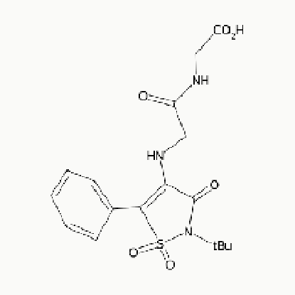 CC(C)(C)N1C(=O)C(NCC(=O)NCC(=O)O)=C(c2ccccc2)S1(=O)=O